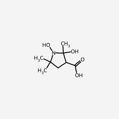 CC1(C)CC(C(=O)O)C(C)(O)N1O